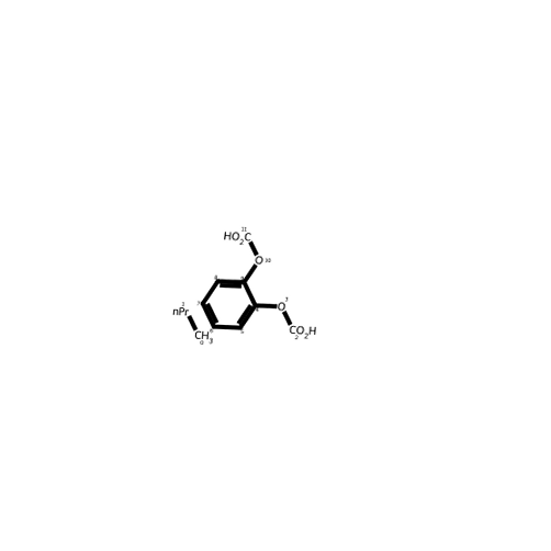 CCCC.O=C(O)Oc1ccccc1OC(=O)O